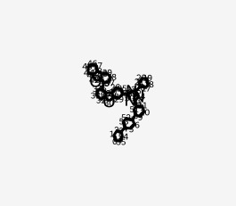 c1ccc(-c2ccc(-c3cccc(-c4nc(-c5ccccc5)nc(-c5ccc6c(c5)oc5cccc(-c7cccc8c7oc7ccccc78)c56)n4)c3)cc2)cc1